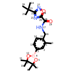 Cc1cc(B2OC(C)(C)C(C)(C)O2)ccc1CNC(=O)c1nc(C(C)(C)C)no1